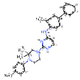 COc1ccc(N2CCN(c3nccc(Nc4ccc(-c5ccccc5)cc4C)n3)CC2(C)C)cc1